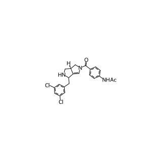 CC(=O)Nc1ccc(C(=O)N2C=C3C(Cc4cc(Cl)cc(Cl)c4)NC[C@@H]3C2)cc1